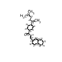 CN(C)CCN(C)c1ccc(C(=O)C=Cc2ccc3ccccc3n2)cc1